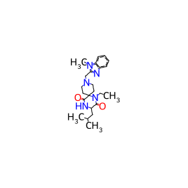 CCN1C(=O)C(CC(C)C)NC(=O)C12CCN(Cc1nc3ccccc3n1C)CC2